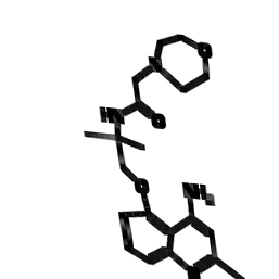 Cc1cc(N)c2c(OCC(C)(C)NC(=O)CN3CCOCC3)cccc2n1